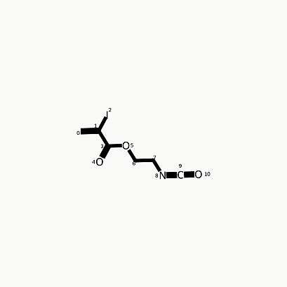 C=C(I)C(=O)OCCN=C=O